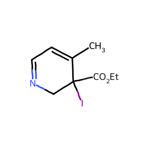 CCOC(=O)C1(I)CN=CC=C1C